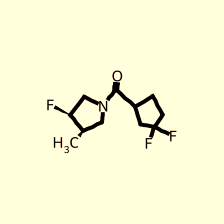 C[C@@H]1CN(C(=O)C2CCC(F)(F)C2)C[C@@H]1F